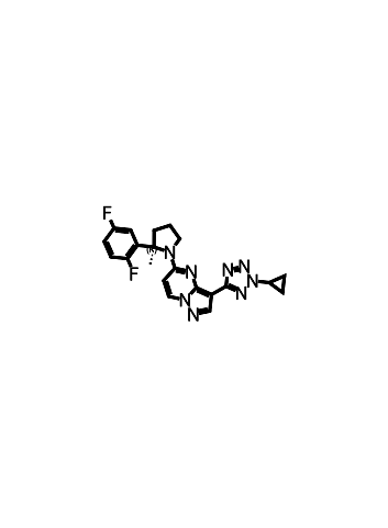 C[C@]1(c2cc(F)ccc2F)CCCN1c1ccn2ncc(-c3nnn(C4CC4)n3)c2n1